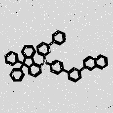 c1ccc(-c2cccc(N(c3ccc(-c4cccc(-c5ccc6ccccc6c5)c4)cc3)c3cccc4c3-c3ccccc3C4(c3ccccc3)c3ccccc3)c2)cc1